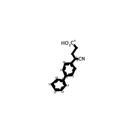 N#CC(CCC(=O)O)c1ccc(-c2ccccc2)cc1